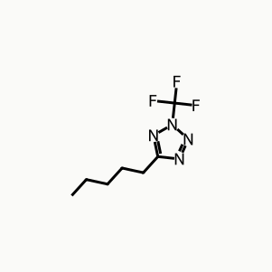 CCCCCc1nnn(C(F)(F)F)n1